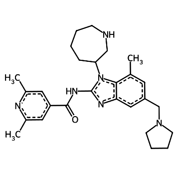 Cc1cc(C(=O)Nc2nc3cc(CN4CCCC4)cc(C)c3n2C2CCCCNC2)cc(C)n1